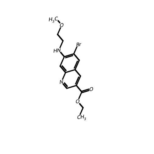 CCOC(=O)c1cnc2cc(NCCOC)c(Br)cc2c1